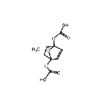 O.O=C(O)OC12C=CC(OC(=O)O)(CC1)O2